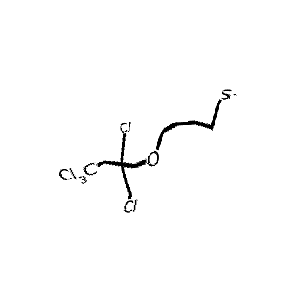 [S]CCOC(Cl)(Cl)C(Cl)(Cl)Cl